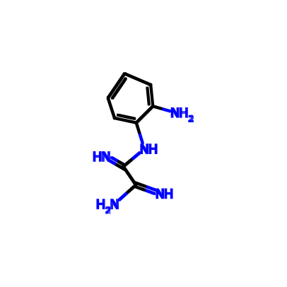 N=C(N)C(=N)Nc1ccccc1N